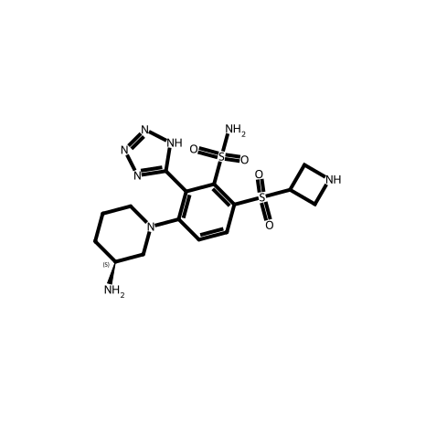 N[C@H]1CCCN(c2ccc(S(=O)(=O)C3CNC3)c(S(N)(=O)=O)c2-c2nnn[nH]2)C1